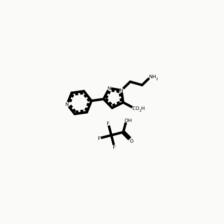 NCCn1nc(-c2ccncc2)cc1C(=O)O.O=C(O)C(F)(F)F